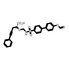 O=C(O)[C@@H](CC#Cc1ccccc1)OCNS(=O)(=O)c1ccc(-c2ccc(OC=S)cc2)cc1